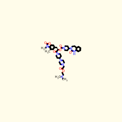 Cc1cc(C[C@@H](OC(=O)N2CCC(N3CCc4ccccc4NC3=O)CC2)C(=O)N2CCC(N3CCN(CC(=O)OCCN(C)C)CC3)CC2)cc2oc(=O)n(C)c12